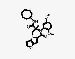 COc1ccc(OC)c(N2C(=O)c3cc4occc4n3CC2(C)C(=O)NC2CCCCCC2)c1